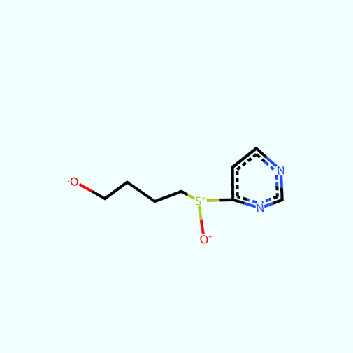 [O]CCCC[S+]([O-])c1ccncn1